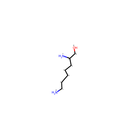 NCCCCCC(N)CO